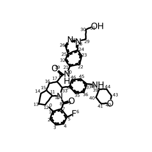 Cc1cccc(F)c1C(=O)N1C2CCCC2CC(C(=O)Nc2ccc3c(cnn3CCO)c2)C1c1ccc(NC2CCOCC2)cc1